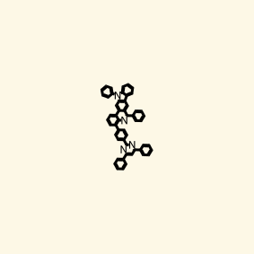 c1ccc(-c2cc(-c3ccccc3)nc(-c3ccc(-c4cccc5c4nc(-c4ccccc4)c4cc6c7ccccc7n(-c7ccccc7)c6cc45)cc3)n2)cc1